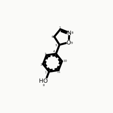 Oc1ccc(C2C[C]=NO2)cc1